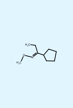 CCC(=NOC)C1CCCC1